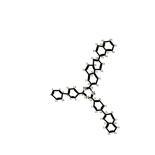 c1ccc(-c2ccc(-c3nc(-c4ccc(-c5ccc6ccccc6c5)cc4)nc(-c4ccc5c(ccc6cc(-c7ccc8ccccc8c7)ccc65)c4)n3)cc2)cc1